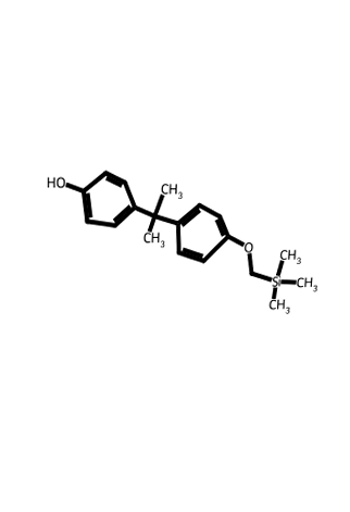 CC(C)(c1ccc(O)cc1)c1ccc(OC[Si](C)(C)C)cc1